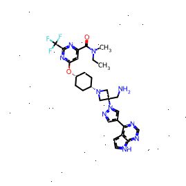 CCN(C)C(=O)c1cc(O[C@H]2CC[C@@H](N3CC(CN)(n4cc(-c5ncnc6[nH]ccc56)cn4)C3)CC2)nc(C(F)(F)F)n1